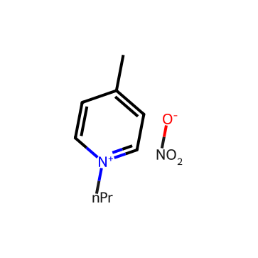 CCC[n+]1ccc(C)cc1.O=[N+]([O-])[O-]